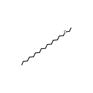 CCCCCCCCCCCCCCCOCC